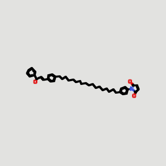 O=C(C=Cc1ccc(CCCCCCCCCCCCCCCCCCc2ccc(N3C(=O)C=CC3=O)cc2)cc1)c1ccccc1